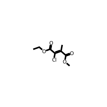 CCOC(=O)/C(Cl)=C(\C)C(=O)OC